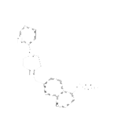 COc1cccc2cc(CN3CCN(c4ccccn4)CC3)ccc12